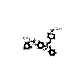 CON(C(=O)Nc1ccc([N+](CCC2CCN(CC(=O)O)CC2)(Cc2ccccc2)C(C)=O)cc1)c1ccccc1Cl